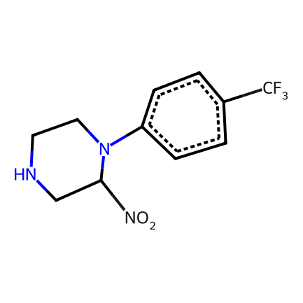 O=[N+]([O-])C1CNCCN1c1ccc(C(F)(F)F)cc1